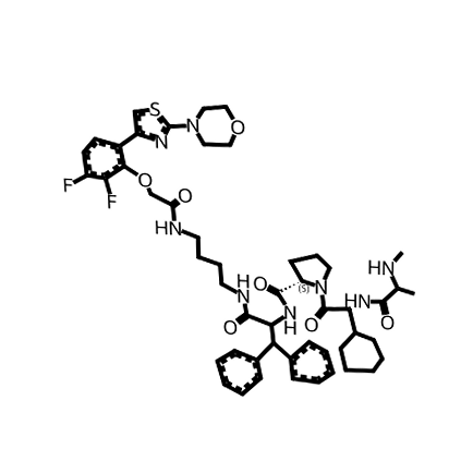 CNC(C)C(=O)NC(C(=O)N1CCC[C@H]1C(=O)NC(C(=O)NCCCCNC(=O)COc1c(-c2csc(N3CCOCC3)n2)ccc(F)c1F)C(c1ccccc1)c1ccccc1)C1CCCCC1